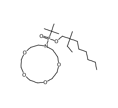 CCCCCCC(C)(CC)COP(=O)(N1CCOCCOCCOCCOCC1)C(C)(C)C